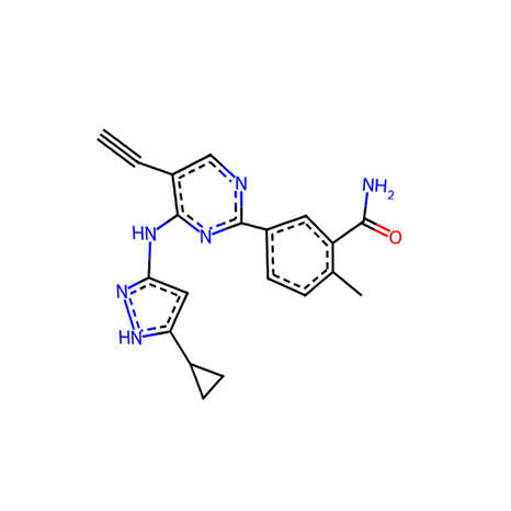 C#Cc1cnc(-c2ccc(C)c(C(N)=O)c2)nc1Nc1cc(C2CC2)[nH]n1